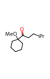 COC1(C(=O)CCC(C)C)CCCCC1